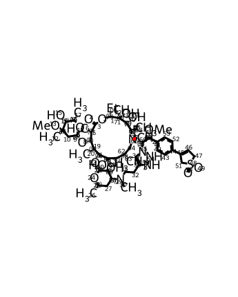 CC[C@H]1OC(=O)[C@H](C)[C@@H](O[C@H]2C[C@@](C)(OC)[C@@H](O)[C@H](C)O2)[C@H](C)[C@@H](O[C@@H]2O[C@H](C)C[C@H](N(C)CCC3=CN([C@H](CF)[C@H](OC)c4ccc(C5=CCS(=O)(=O)C5)cc4)NN3)[C@H]2O)[C@](C)(O)C[C@@H](C)CN(C)[C@H](C)[C@@H](O)[C@]1(C)O